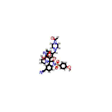 COc1ccc(S(=O)(=O)N2C(=O)C(c3cc(CN4CCN(C(C)=O)CC4)ccc3OC)(N3CCCC3c3ncco3)c3cc(C#N)ccc32)cc1